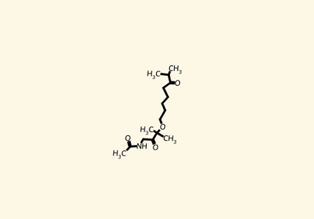 CC(=O)NCC(=O)C(C)(C)OCCCCCC(=O)C(C)C